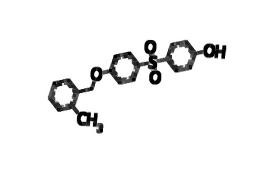 Cc1ccccc1COc1ccc(S(=O)(=O)c2ccc(O)cc2)cc1